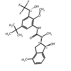 COc1c(NC(=O)N(C)[C@@H]2Cc3c(C)cccc3[C@@H]2O)cc(C(C)(C)C)cc1[C@@H](O)C(F)(F)F